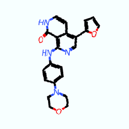 O=c1[nH]ccc2c(-c3ccco3)cnc(Nc3ccc(N4CCOCC4)cc3)c12